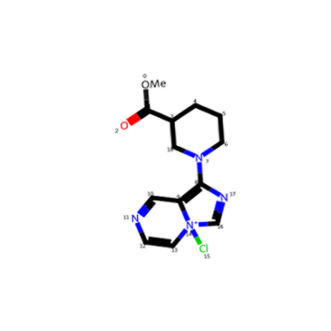 COC(=O)C1CCCN(C2=C3C=NC=C[N+]3(Cl)C=N2)C1